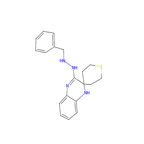 c1ccc(CNNC2=Nc3ccccc3NC23CCSCC3)cc1